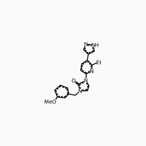 CCc1nc(-n2ccn(Cc3cccc(OC)c3)c2=O)ccc1-c1cn[nH]c1